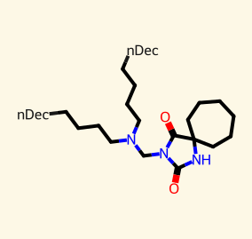 CCCCCCCCCCCCCCN(CCCCCCCCCCCCCC)CN1C(=O)NC2(CCCCCC2)C1=O